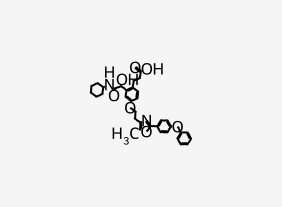 Cc1oc(-c2ccc(Oc3ccccc3)cc2)nc1CCOc1ccc(CCC(=O)O)c(C(O)C(=O)NC2CCCCC2)c1